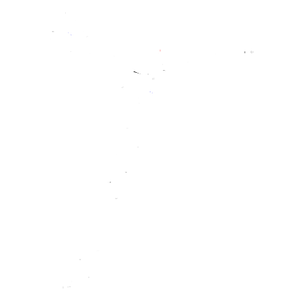 CCCCCCCCCCCCC=CC[C@@H](O)[C@H](COP(=O)([O-])OCC[N+](C)(C)C)NC(=O)CC=CCC=CCCCCCCCCCCCCCCCCC